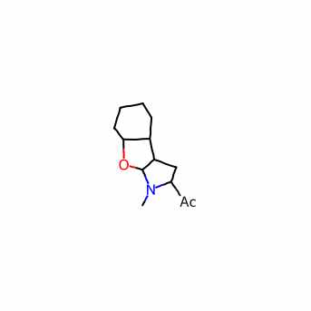 CC(=O)C1CC2C3CCCCC3OC2N1C